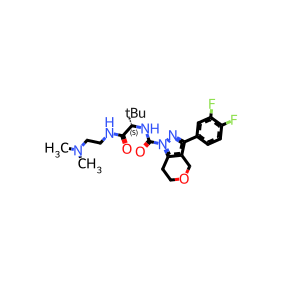 CN(C)CCNC(=O)[C@@H](NC(=O)n1nc(-c2ccc(F)c(F)c2)c2c1CCOC2)C(C)(C)C